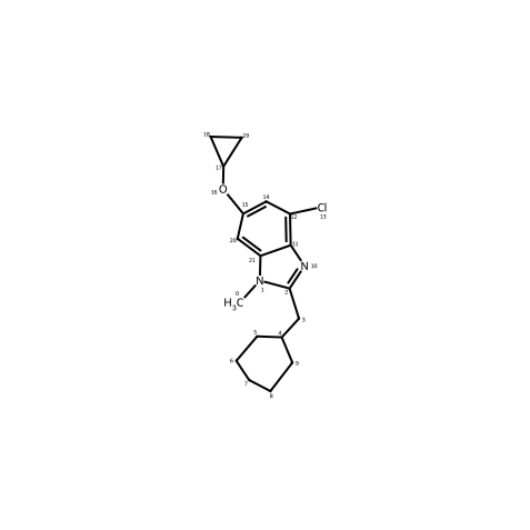 Cn1c(CC2CCCCC2)nc2c(Cl)cc(OC3CC3)cc21